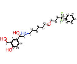 OCc1cc([C@@H](O)CNCCCCCCOCCCC(F)(F)c2ccccc2)ccc1O